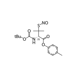 Cc1ccc(OC(=O)[C@H](NC(=O)OC(C)(C)C)C(C)(C)SN=O)cc1